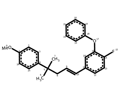 COc1ccc(C(C)(C)C/C=C/c2ccc(F)c(Oc3ccccc3)c2)cc1